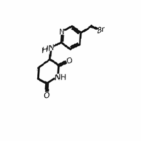 O=C1CCC(Nc2ccc(CBr)cn2)C(=O)N1